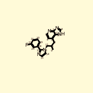 CC(Cc1ccnc2nc[nH]c12)Cn1ccnc1-c1cccc(F)c1